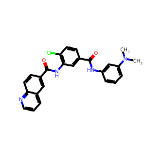 CN(C)c1cccc(NC(=O)c2ccc(Cl)c(NC(=O)c3ccc4ncccc4c3)c2)c1